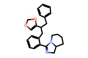 C1=C(C(Cc2ccccc2)Cc2ccccc2C2=NCC3CCCCN23)OCO1